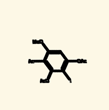 COc1cc(OC(C)=O)c(I)c(OC(C)=O)c1C(C)=O